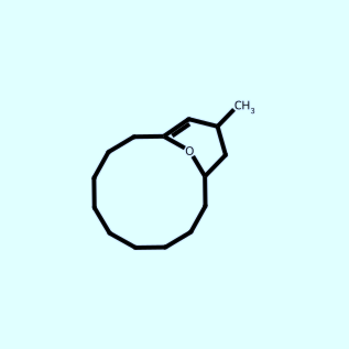 CC1C=C2CCCCCCCCCC(C1)O2